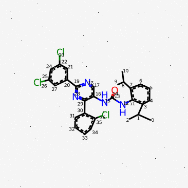 CC(C)c1cccc(C(C)C)c1NC(=O)Nc1cnc(-c2cc(Cl)cc(Cl)c2)nc1-c1ccccc1Cl